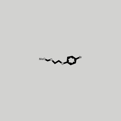 COCOCCOc1ccc(Br)cc1